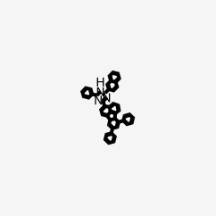 C1=C(c2ccccc2)C=C(c2ccccc2)C2c3cccc4c(C5=NC(c6ccc7ccccc7c6)NC(c6ccccc6)=N5)ccc(c34)C12